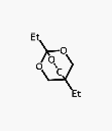 CCC12COC(CC)(OC1)OC2